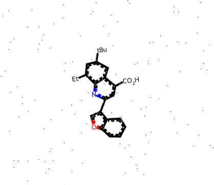 CCc1cc(C(C)(C)C)cc2c(C(=O)O)cc(-c3coc4ccccc34)nc12